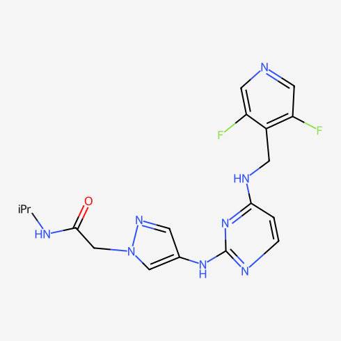 CC(C)NC(=O)Cn1cc(Nc2nccc(NCc3c(F)cncc3F)n2)cn1